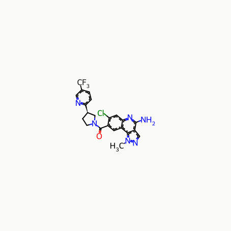 Cn1ncc2c(N)nc3cc(Cl)c(C(=O)N4CC[C@@H](c5ccc(C(F)(F)F)cn5)C4)cc3c21